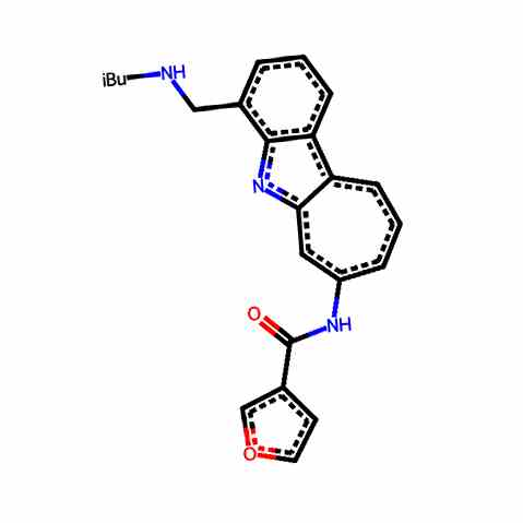 CCC(C)NCc1cccc2c3cccc(NC(=O)c4ccoc4)cc-3nc12